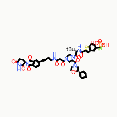 CC(C)(C)[C@H](NC(=O)c1cc2cc(C(F)(F)P(=O)(O)O)ccc2s1)C(=O)N1CCN(C(=O)CC(=O)NCCC#Cc2ccc3c(c2)C(=O)N(C2CCC(=O)NC2=O)C3=O)C[C@H]1C(=O)N1CCO[C@H](c2ccccc2)C1